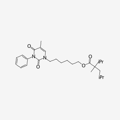 Cc1cn(CCCCCCOC(=O)C(C)(CC(C)C)C(C)C)c(=O)n(-c2ccccc2)c1=O